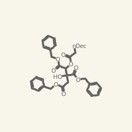 CCCCCCCCCCCC(=O)OC(C(=O)OCc1ccccc1)C(O)(CC(=O)OCc1ccccc1)C(=O)OCc1ccccc1